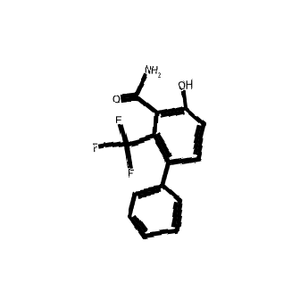 NC(=O)c1c(O)ccc(-c2ccccc2)c1C(F)(F)F